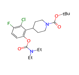 CCN(CC)C(=O)Oc1ccc(F)c(Cl)c1C1CCN(C(=O)OC(C)(C)C)CC1